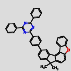 CC1(C)c2ccc(-c3ccc(-c4nc(-c5ccccc5)nc(-c5ccccc5)n4)cc3)cc2-c2c1ccc1oc3ccccc3c21